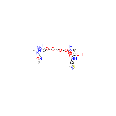 C=Cc1cnc(Nc2cccc(OCCCOCCCCOCCCOCC(=O)NC(C(=O)C3C[C@H](O)C[C@H]3C(=O)NCc3ccc(-c4scnc4C)cc3)C(C)(C)C)c2)nc1NCCCN(C)C(=O)C1CCC1